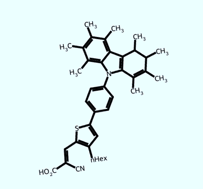 CCCCCCc1cc(-c2ccc(-n3c4c(c5c(C)c(C)c(C)c(C)c53)C(C)C(C)C(C)=C4C)cc2)sc1/C=C(\C#N)C(=O)O